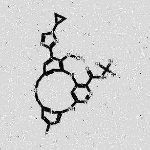 [2H]C([2H])([2H])NC(=O)c1nnc2cc1Nc1cc(cc(-c3ncn(C4CC4)n3)c1OC)COCc1cc(F)cc(n1)N2